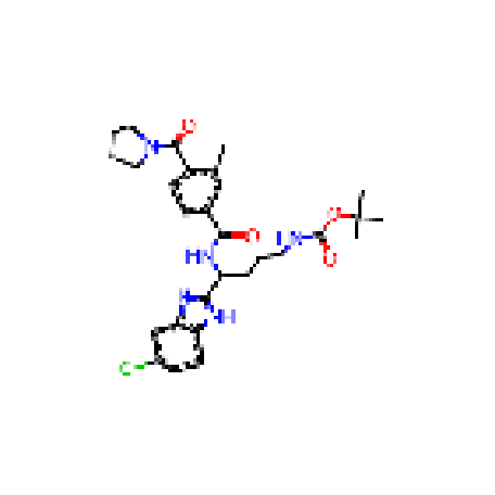 Cc1cc(C(=O)N[C@@H](CCCNC(=O)OC(C)(C)C)c2nc3cc(Cl)ccc3[nH]2)ccc1C(=O)N1CCCC1